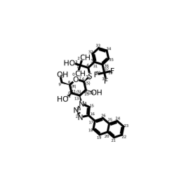 CC(C)(O)C(S[C@@H]1O[C@H](CO)[C@H](O)[C@H](n2cc(-c3ccc4ccccc4c3)nn2)[C@H]1O)c1ccccc1C(F)(F)F